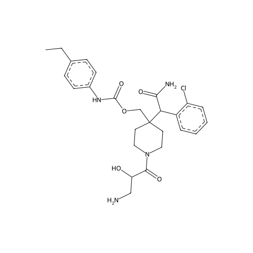 CCc1ccc(NC(=O)OCC2(C(C(N)=O)c3ccccc3Cl)CCN(C(=O)C(O)CN)CC2)cc1